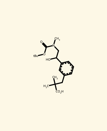 CN(CC(O)c1cccc(CC(C)(C)C(=O)O)c1)C(=O)OC(C)(C)C